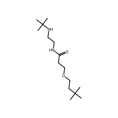 CC(C)(C)CCOCCC(=O)NCCNC(C)(C)C